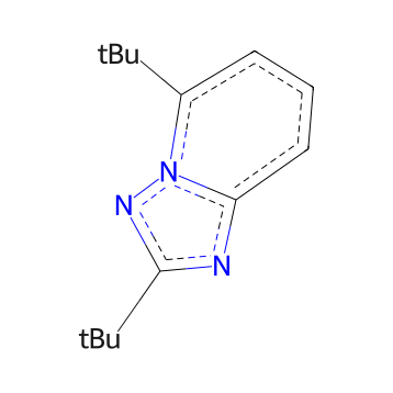 CC(C)(C)c1nc2cccc(C(C)(C)C)n2n1